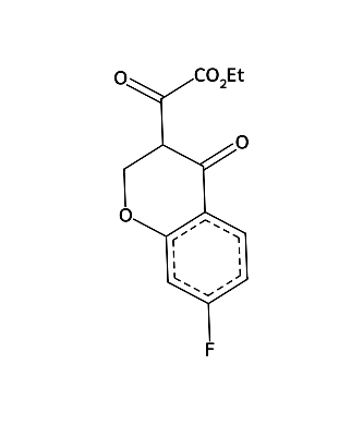 CCOC(=O)C(=O)C1COc2cc(F)ccc2C1=O